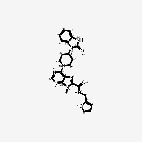 Cn1c(C(=O)NCc2ccco2)nc2c(N3CCC(n4c(=O)[nH]c5ccccc54)CC3)ncnc21